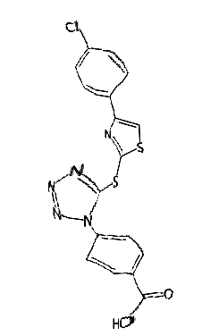 O=C(O)c1ccc(-n2nnnc2Sc2nc(-c3ccc(Cl)cc3)cs2)cc1